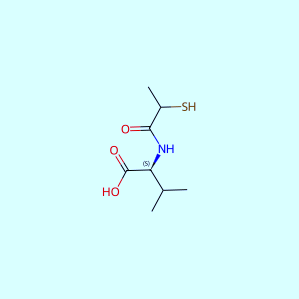 CC(S)C(=O)N[C@H](C(=O)O)C(C)C